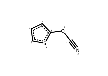 N#COc1cccs1